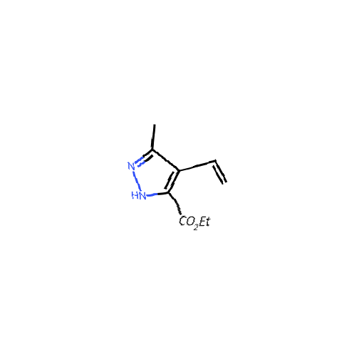 C=Cc1c(C)n[nH]c1C(=O)OCC